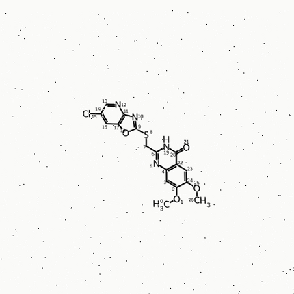 COc1cc2nc(CSc3nc4ncc(Cl)cc4o3)[nH]c(=O)c2cc1OC